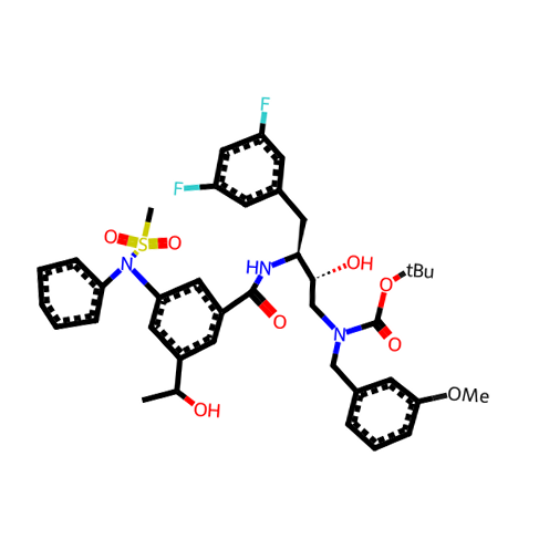 COc1cccc(CN(C[C@@H](O)[C@H](Cc2cc(F)cc(F)c2)NC(=O)c2cc(C(C)O)cc(N(c3ccccc3)S(C)(=O)=O)c2)C(=O)OC(C)(C)C)c1